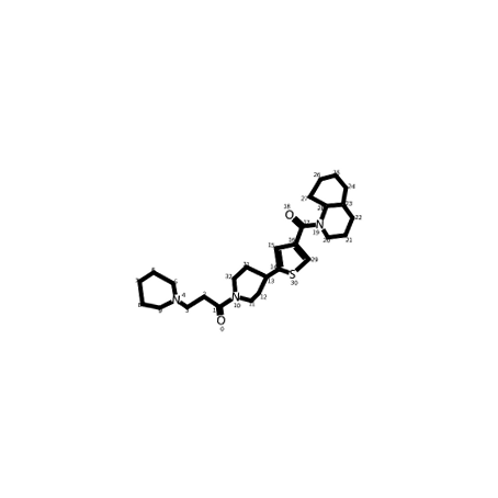 O=C(CCN1CCCCC1)N1CCC(c2cc(C(=O)N3CCCC4CCCCC43)cs2)CC1